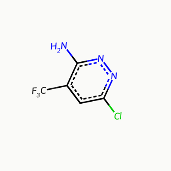 Nc1nnc(Cl)cc1C(F)(F)F